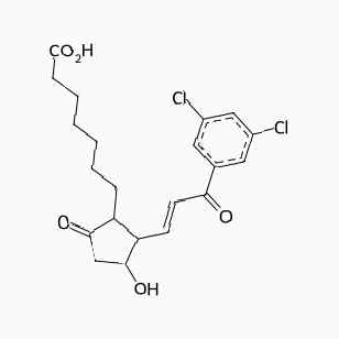 O=C(O)CCCCCCC1C(=O)CC(O)C1C=CC(=O)c1cc(Cl)cc(Cl)c1